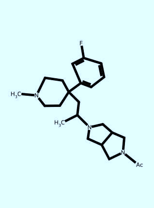 CC(=O)N1CC2CN(C(C)CC3(c4cccc(F)c4)CCN(C)CC3)CC2C1